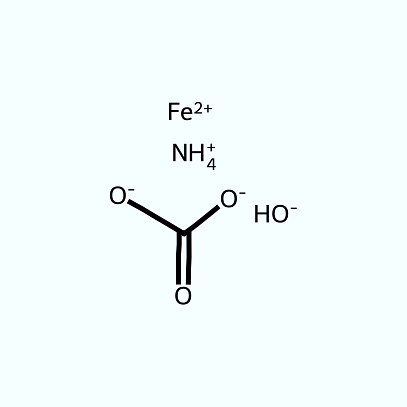 O=C([O-])[O-].[Fe+2].[NH4+].[OH-]